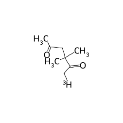 [3H]CC(=O)C(C)(C)CC(C)=O